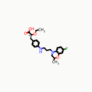 CCO[C@@H](Cc1ccc(NCCCN2CC(C)Oc3cc(F)ccc32)cc1)C(=O)O